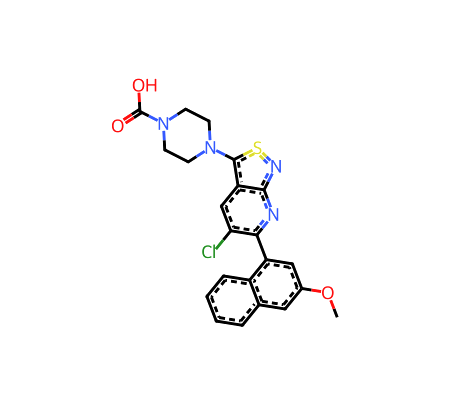 COc1cc(-c2nc3nsc(N4CCN(C(=O)O)CC4)c3cc2Cl)c2ccccc2c1